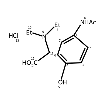 CC(=O)Nc1ccc(O)cc1.CCN(CC)CC(=O)O.Cl